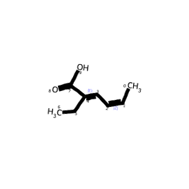 C/C=C\C=C(/CC)C(=O)O